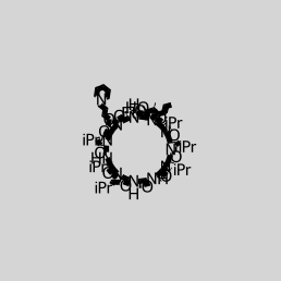 C/C=C/C[C@@H](C)[C@@H](O)[C@H]1C(=O)N[C@@H](CC)C(=O)N(C)[C@H](COCCCN2CCCCC2)C(=O)N(C)[C@@H](CC(C)C)C(=O)N[C@H](C(C)C)C(=O)N(C)[C@H](CCC(C)C)C(=O)N[C@H](C)C(=O)N[C@@H](C)C(=O)N(C)[C@@H](CC(C)C)C(=O)N(C)[C@@H](CC(C)C)C(=O)N(C)[C@@H](C(C)C)C(=O)N1C